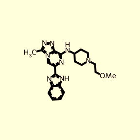 COCCN1CCC(Nc2nc(-c3nc4ccccc4[nH]3)cn3c(C)nnc23)CC1